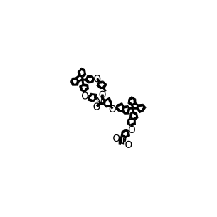 Cc1ccc(Oc2ccc(C3(c4ccc(Oc5ccc(N6C(=O)c7ccc(Oc8ccc9cc(C%10(c%11ccc%12cc(Oc%13ccc%14c(c%13)C(=O)N(C)C%14=O)ccc%12c%11)c%11ccccc%11-c%11ccccc%11%10)ccc9c8)cc7C6=O)cc5)cc4)c4ccccc4-c4ccccc43)cc2)cc1